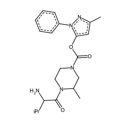 Cc1cc(OC(=O)N2CCN(C(=O)C(N)C(C)C)C(C)C2)n(-c2ccccc2)n1